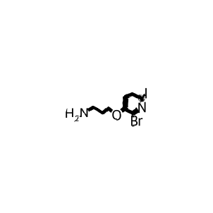 NCCCOC1=CC[C@@H](I)N=C1Br